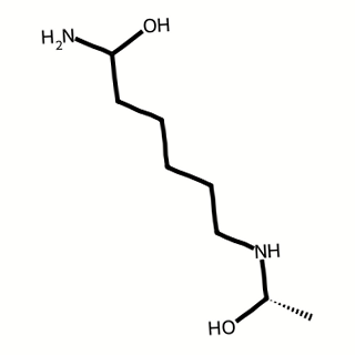 C[C@H](O)NCCCCCC(N)O